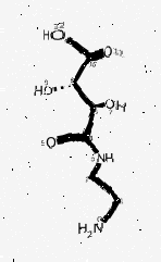 NCCNC(=O)[C@H](O)[C@H](O)C(=O)O